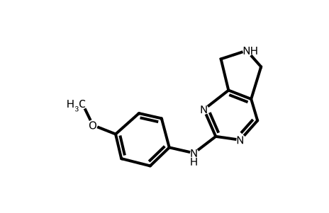 COc1ccc(Nc2ncc3c(n2)CNC3)cc1